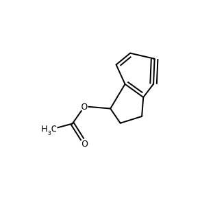 CC(=O)OC1CCc2c#cccc21